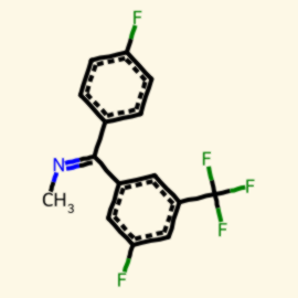 C/N=C(/c1ccc(F)cc1)c1cc(F)cc(C(F)(F)F)c1